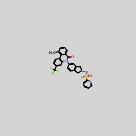 Cc1cccc(C(=O)Nc2ccc3c(c2)C[C@@H](NS(=O)(=O)c2ccccn2)C3)c1-c1ccc(C(F)(F)F)cc1